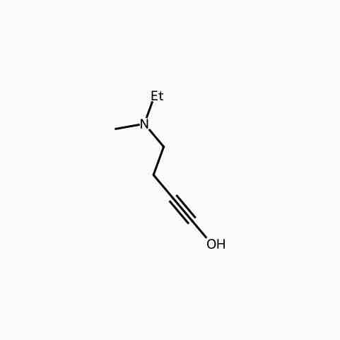 CCN(C)CCC#CO